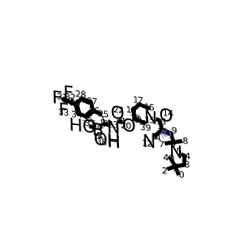 CC1(C)CCN(C(C)(C)/C=C(\C#N)C(=O)N2CCC[C@H](OC(=O)N[C@@H](Cc3ccc(C(F)(F)F)cc3)B(O)O)C2)C1